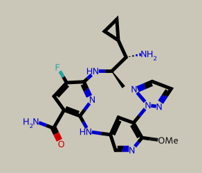 COc1ncc(Nc2nc(N[C@H](C)[C@@H](N)C3CC3)c(F)cc2C(N)=O)cc1-n1nccn1